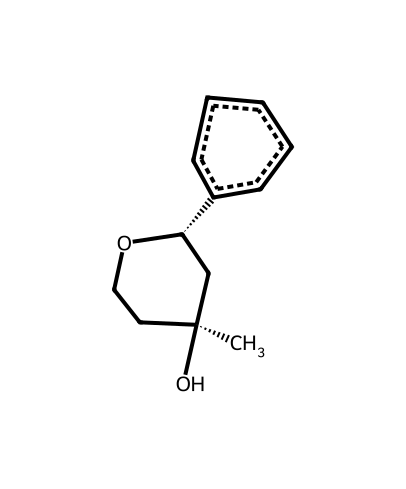 C[C@]1(O)CCO[C@H](c2ccccc2)C1